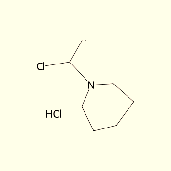 Cl.[CH2]C(Cl)N1CCCCC1